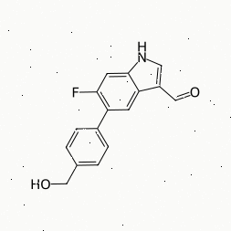 O=Cc1c[nH]c2cc(F)c(-c3ccc(CO)cc3)cc12